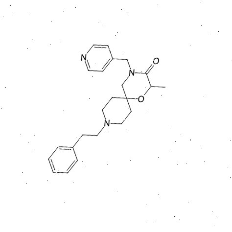 CC1OC2(CCN(CCc3ccccc3)CC2)CN(Cc2ccncc2)C1=O